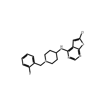 Fc1ccccc1CN1CCC(Nc2ncnc3sc(Cl)cc23)CC1